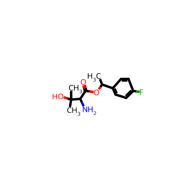 CC(OC(=O)C(N)C(C)(C)O)c1ccc(F)cc1